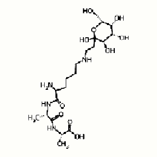 C[C@H](NC(=O)[C@H](C)NC(=O)[C@@H](N)CCCCNCCC1(O)O[C@H](CO)[C@H](O)[C@H](O)[C@H]1O)C(=O)O